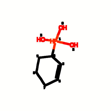 O[PH](O)(O)C1C=CCCC1